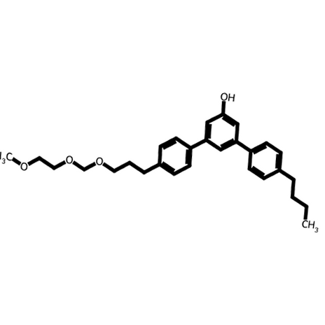 CCCCc1ccc(-c2cc(O)cc(-c3ccc(CCCOCOCCOC)cc3)c2)cc1